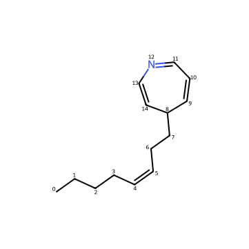 CCCC/C=C\CCC1C=CC=NC=C1